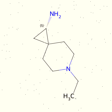 CCN1CCC2(CC1)C[C@@H]2N